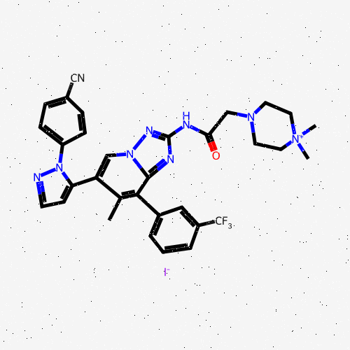 Cc1c(-c2ccnn2-c2ccc(C#N)cc2)cn2nc(NC(=O)CN3CC[N+](C)(C)CC3)nc2c1-c1cccc(C(F)(F)F)c1.[I-]